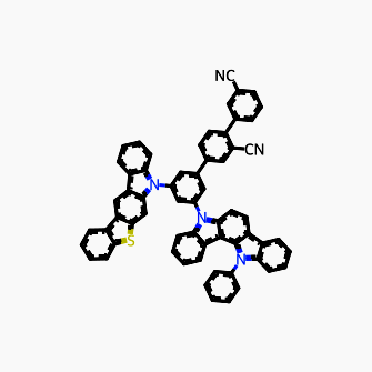 N#Cc1cccc(-c2ccc(-c3cc(-n4c5ccccc5c5cc6c(cc54)sc4ccccc46)cc(-n4c5ccccc5c5c4ccc4c6ccccc6n(-c6ccccc6)c45)c3)cc2C#N)c1